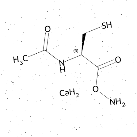 CC(=O)N[C@@H](CS)C(=O)ON.[CaH2]